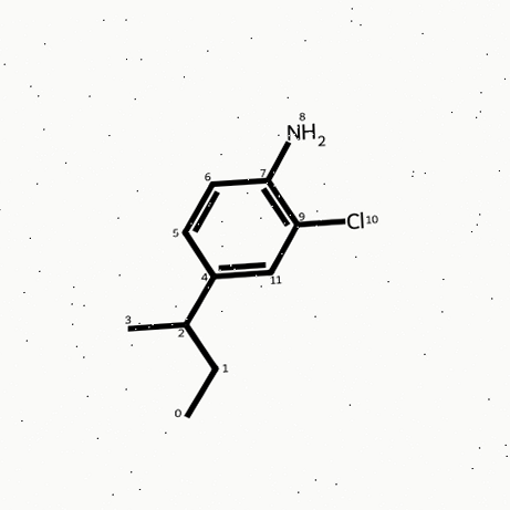 CCC(C)c1ccc(N)c(Cl)c1